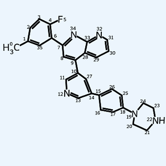 Cc1ccc(F)c(-c2cc(-c3cncc(-c4ccc(N5CCNCC5)cc4)c3)c3cccnc3n2)c1